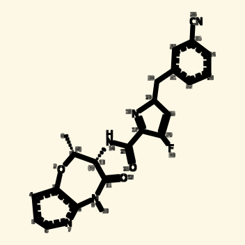 C[C@H]1Oc2cccnc2N(C)C(=O)[C@H]1NC(=O)C1=NC(Cc2cccc(C#N)c2)C=C1F